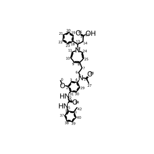 COc1cc(N(CCC2=CC=CN(C(CC(=O)O)c3ccccc3)C=C2)C(C)=O)ccc1NC(=O)Nc1ccccc1C